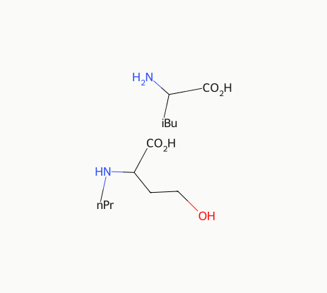 CCC(C)C(N)C(=O)O.CCCNC(CCO)C(=O)O